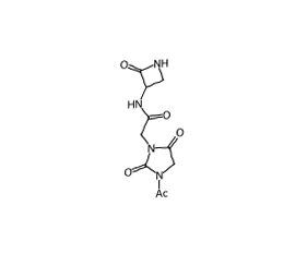 CC(=O)N1CC(=O)N(CC(=O)NC2CNC2=O)C1=O